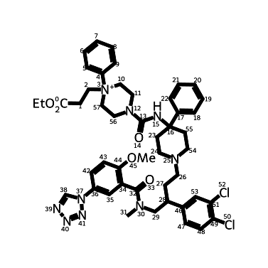 CCOC(=O)CC[N+]1(c2ccccc2)CCN(C(=O)NC2(c3ccccc3)CCN(CCC(CN(C)C(=O)c3cc(-n4cnnn4)ccc3OC)c3ccc(Cl)c(Cl)c3)CC2)CC1